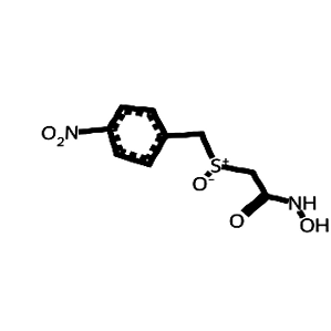 O=C(C[S+]([O-])Cc1ccc([N+](=O)[O-])cc1)NO